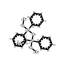 CCO[Si](OCC)(O[Si](OCC)(c1ccccc1)c1ccccc1)c1ccccc1